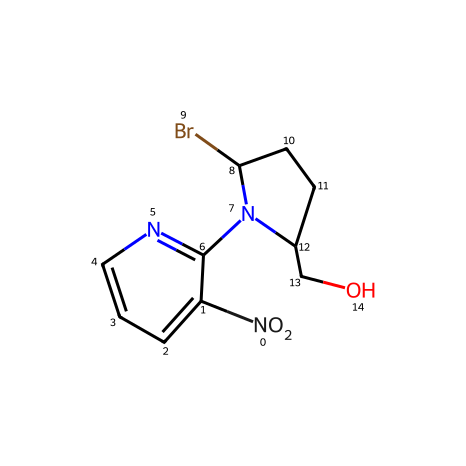 O=[N+]([O-])c1cccnc1N1C(Br)CCC1CO